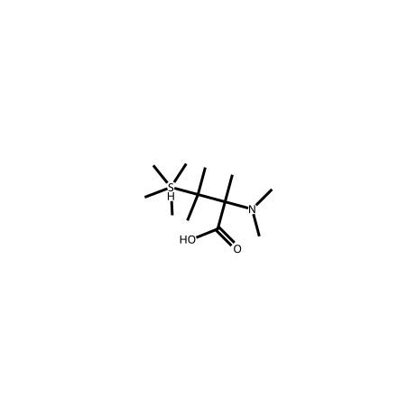 CN(C)C(C)(C(=O)O)C(C)(C)[SH](C)(C)(C)C